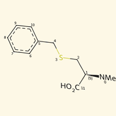 CN[C@H](CSCc1ccccc1)C(=O)O